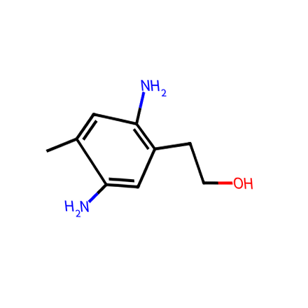 Cc1cc(N)c(CCO)cc1N